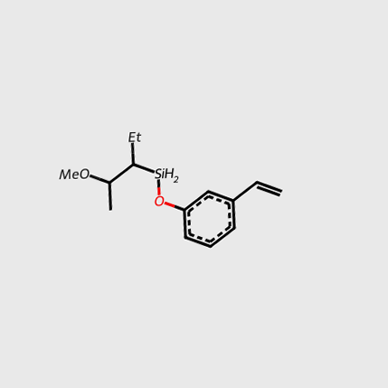 C=Cc1cccc(O[SiH2]C(CC)C(C)OC)c1